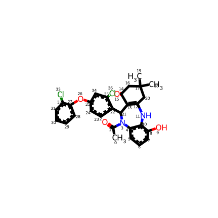 CC(=O)N1c2cccc(O)c2NC2=C(C(=O)CC(C)(C)C2)C1c1ccc(Oc2ccccc2Cl)cc1Cl